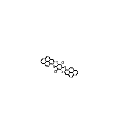 Clc1c2nc3c(cc4ccc5cccc6ccc3c4c56)oc2c(Cl)c2nc3c(cc4ccc5cccc6ccc3c4c56)oc12